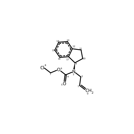 C=CCN(C(=O)OCCl)[C@@H]1CCc2ccccc21